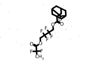 CC(F)(F)C(=O)OCC(F)(F)C(F)(F)COC(=O)C12CC3CC(C1)C(=O)C(C3)C2